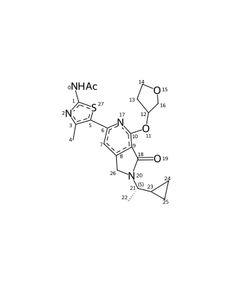 CC(=O)Nc1nc(C)c(-c2cc3c(c(OC4CCOC4)n2)C(=O)N([C@@H](C)C2CC2)C3)s1